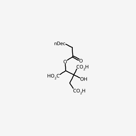 CCCCCCCCCCCC(=O)OC(C(=O)O)C(O)(CC(=O)O)C(=O)O